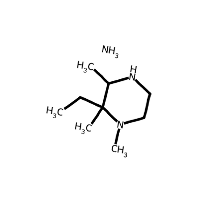 CCC1(C)C(C)NCCN1C.N